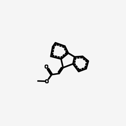 COC(=O)C=C1c2ccccc2-c2ccccc21